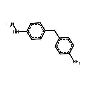 NNc1ccc(Cc2ccc(N)cc2)cc1